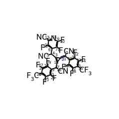 N#C/C(=C1C(C(C#N)c2c(F)c(F)nc(C#N)c2F)=C\1C(C#N)c1c(F)c(F)c(C(F)(F)F)c(F)c1F)c1c(F)c(F)c(C(F)(F)F)c(F)c1F